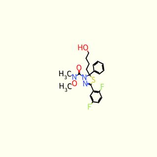 CON(C)C(=O)N1N=C(c2cc(F)ccc2F)SC1(CCCCO)c1ccccc1